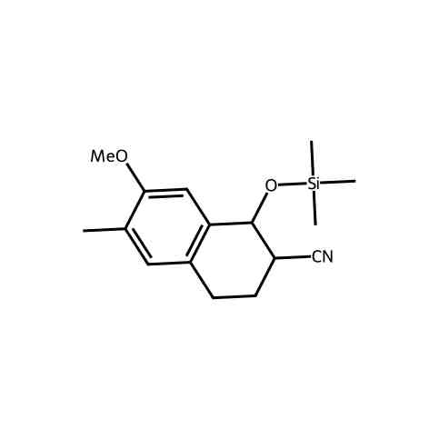 COc1cc2c(cc1C)CCC(C#N)C2O[Si](C)(C)C